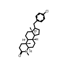 CN1C(=O)CC[C@]2(C)[C@H]3CC[C@]4(C)C(Cc5ccc(Cl)cc5)CC[C@H]4[C@@H]3CC[C@@H]12